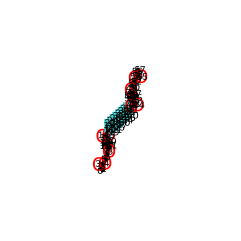 C=CC(=O)OCCCOc1ccc(C(=O)OCC(F)(F)C(F)(F)C(F)(F)C(F)(F)C(F)(F)C(F)(F)C(F)(F)C(F)(F)COC(=O)c2ccc(OCCCOC(=O)C=C)cc2)cc1